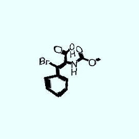 COC(=O)NC(C(=O)O)=C(Br)c1ccccc1